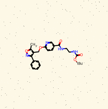 Cc1onc(-c2ccccc2)c1COc1ccc(C(=O)NCCNC(=O)OC(C)(C)C)cn1